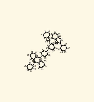 O=P1(c2ccccc2)c2cc(-c3ccc(-c4c5ccccc5c(-c5ccccc5)c5ccccc45)cc3)ccc2-n2c(-c3ccccc3)nc3cccc1c32